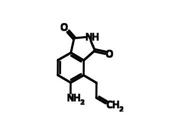 C=CCc1c(N)ccc2c1C(=O)NC2=O